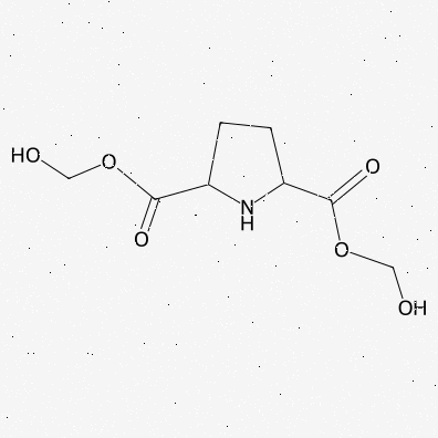 O=C(OCO)C1CCC(C(=O)OCO)N1